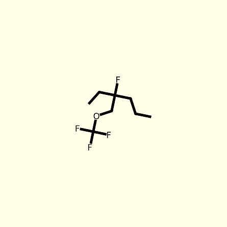 CCCC(F)(CC)COC(F)(F)F